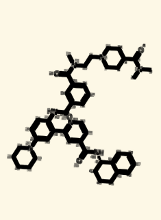 CN(C)C(=O)C1CCN(CCN(C)C(=O)c2cccc(C(=O)Nc3ccc(N4CCCCC4)cc3-c3cc(C(=O)N[C@H]4CCCc5ccccc54)ccn3)c2)CC1